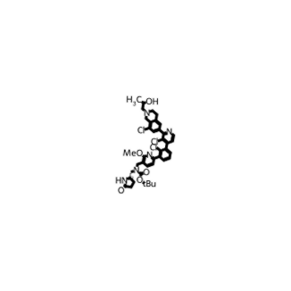 COc1nc(-c2cccc(-c3ccnc(-c4cc(Cl)c5c(c4)CCN(CC(C)O)C5)c3Cl)c2Cl)ccc1CN(C[C@@H]1CCC(=O)N1)C(=O)OC(C)(C)C